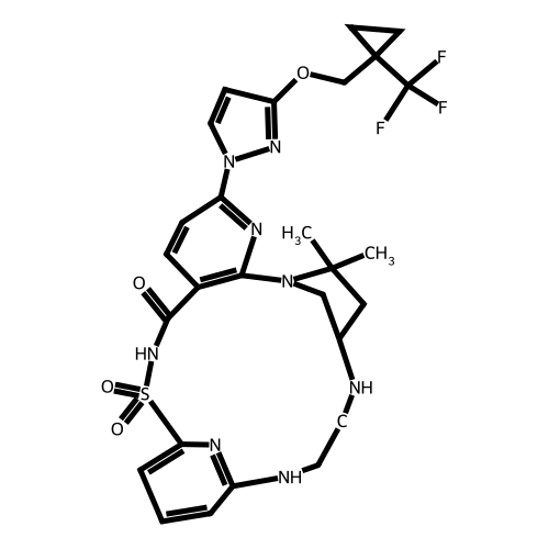 CC1(C)CC2CN1c1nc(-n3ccc(OCC4(C(F)(F)F)CC4)n3)ccc1C(=O)NS(=O)(=O)c1cccc(n1)NCCN2